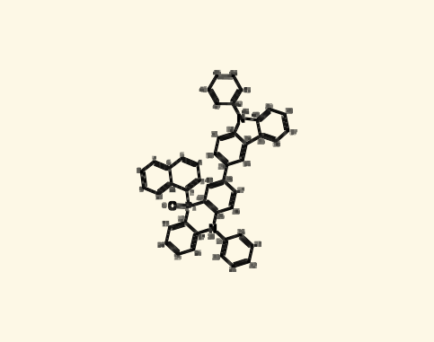 O=P1(c2cccc3ccccc23)c2ccccc2N(c2ccccc2)c2ccc(-c3ccc4c(c3)c3ccccc3n4-c3ccccc3)cc21